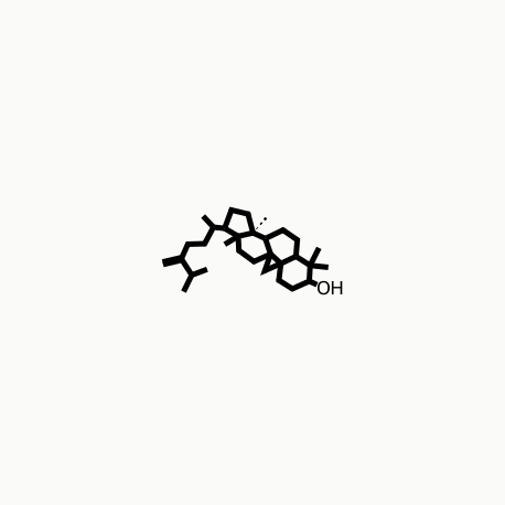 C=C(CCC(C)C1CC[C@@]2(C)C3CCC4C(C)(C)C(O)CCC45CC35CCC12C)C(C)C